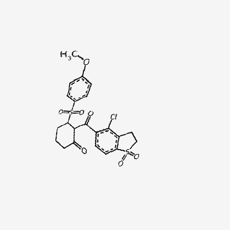 COc1ccc(S(=O)(=O)C2CCCC(=O)C2C(=O)c2ccc3c(c2Cl)CCS3(=O)=O)cc1